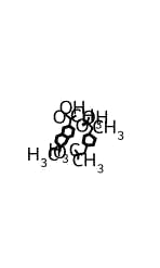 CC(C)Cc1ccc(C(C)C(=O)O)cc1.COc1ccc2cc(C(C)C(=O)O)ccc2c1